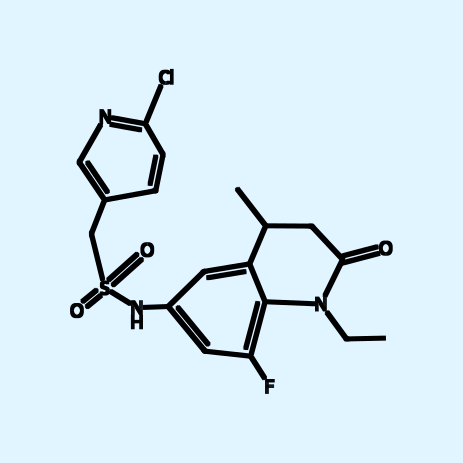 CCN1C(=O)CC(C)c2cc(NS(=O)(=O)Cc3ccc(Cl)nc3)cc(F)c21